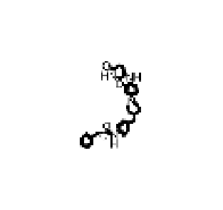 O=C1CCC(Nc2ccc(N3CCC(Cc4ccc(NC(=O)OCc5ccccc5)cc4)CC3)cc2)C(=O)N1